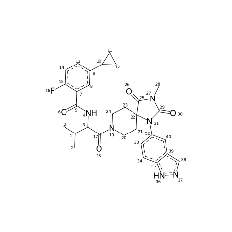 CC(C)C(NC(=O)c1cc(C2CC2)ccc1F)C(=O)N1CCC2(CC1)C(=O)N(C)C(=O)N2c1ccc2[nH]ncc2c1